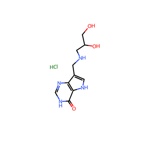 Cl.O=c1[nH]cnc2c(CNCC(O)CO)c[nH]c12